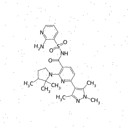 Cc1nn(C)c(C)c1-c1ccc(C(=O)NS(=O)(=O)c2cccnc2N)c(N2CCC(C)C2(C)C)n1